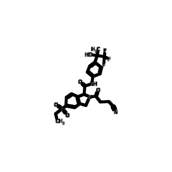 CCS(=O)(=O)c1ccc2c(c1)CN(C(=O)CCC#N)C2C(=O)Nc1ccc(C(C)(O)C(F)(F)F)cc1